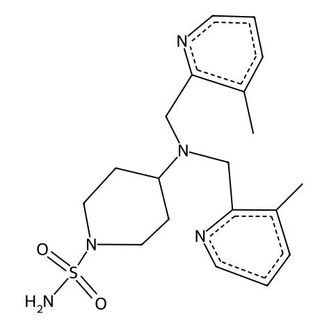 Cc1cccnc1CN(Cc1ncccc1C)C1CCN(S(N)(=O)=O)CC1